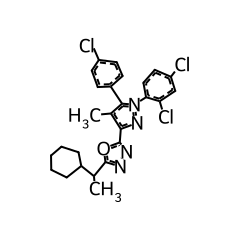 Cc1c(-c2nnc(C(C)C3CCCCC3)o2)nn(-c2ccc(Cl)cc2Cl)c1-c1ccc(Cl)cc1